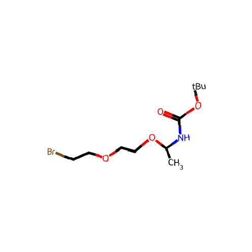 CC(NC(=O)OC(C)(C)C)OCCOCCBr